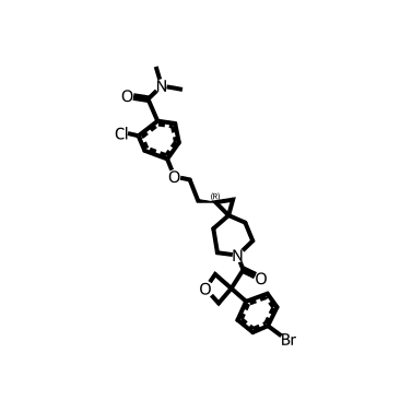 CN(C)C(=O)c1ccc(OCC[C@H]2CC23CCN(C(=O)C2(c4ccc(Br)cc4)COC2)CC3)cc1Cl